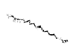 C=CC(O)=CC=CCCCCCCCCCCC